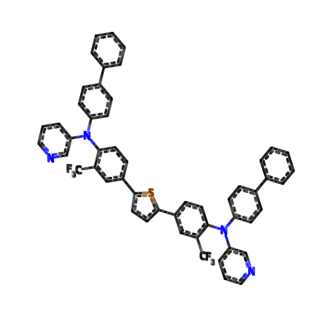 FC(F)(F)c1cc(-c2ccc(-c3ccc(N(c4ccc(-c5ccccc5)cc4)c4cccnc4)c(C(F)(F)F)c3)s2)ccc1N(c1ccc(-c2ccccc2)cc1)c1cccnc1